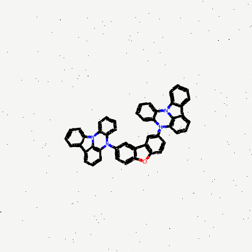 c1ccc2c(c1)N(c1ccc3oc4ccc(N5c6ccccc6-n6c7ccccc7c7cccc5c76)cc4c3c1)c1cccc3c4ccccc4n-2c13